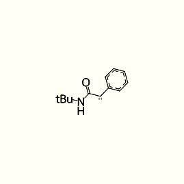 CC(C)(C)NC(=O)[C]c1ccccc1